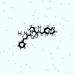 NC(CCc1ccccc1)C(=O)N1CCCC1C(=O)NCc1ccc2nccn2c1